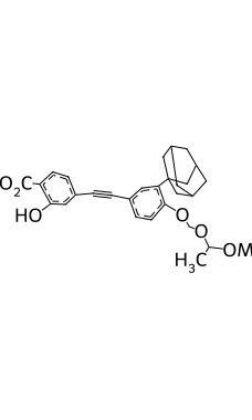 COC(C)OCOc1ccc(C#Cc2ccc(C(=O)O)c(O)c2)cc1C12CC3CC(CC(C3)C1)C2